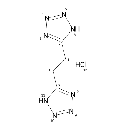 C(Cc1nnn[nH]1)c1nnn[nH]1.Cl